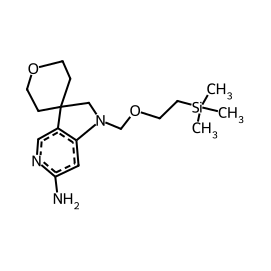 C[Si](C)(C)CCOCN1CC2(CCOCC2)c2cnc(N)cc21